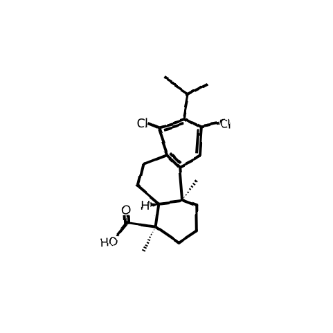 CC(C)c1c(Cl)cc2c(c1Cl)CC[C@H]1[C@](C)(C(=O)O)CCC[C@]21C